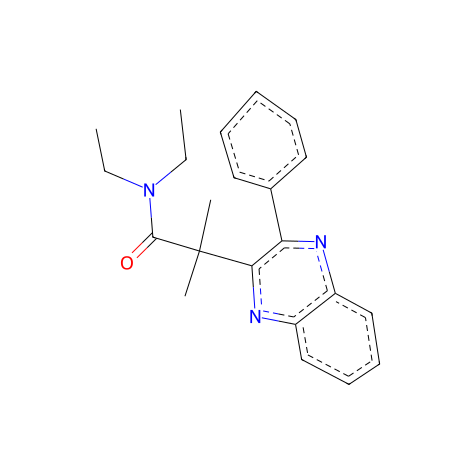 CCN(CC)C(=O)C(C)(C)c1nc2ccccc2nc1-c1ccccc1